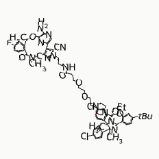 CCOc1cc(C(C)(C)C)ccc1C1=N[C@](C)(c2ccc(Cl)cc2)[C@](C)(c2ccc(Cl)cc2)N1C(=O)N1CCN(CCOCCOCCC(=O)NCCn2nc3c(c2C#N)-c2cnc(N)c(n2)O[C@H](C)c2cc(F)ccc2C(=O)N(C)C3)CC1